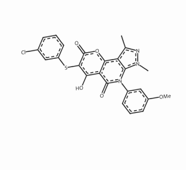 COc1cccc(-n2c(=O)c3c(O)c(Sc4cccc(Cl)c4)c(=O)oc3c3c(C)nn(C)c32)c1